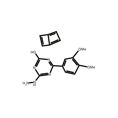 COc1ccc(-c2nc(O)nc(NN)n2)cc1OC.c1cc2ccc1-2